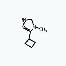 CN1CNN=C1C1CCC1